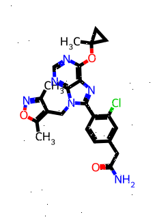 Cc1noc(C)c1Cn1c(-c2ccc(CC(N)=O)cc2Cl)nc2c(OC3(C)CC3)ncnc21